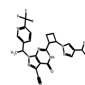 CC(c1ccc(C(F)(F)F)nc1)n1nc(C#N)c2c(=O)[nH]c(C3CCC3n3cc(C(F)F)cn3)nc21